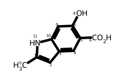 Cc1cc2cc(C(=O)O)c(O)cc2[nH]1